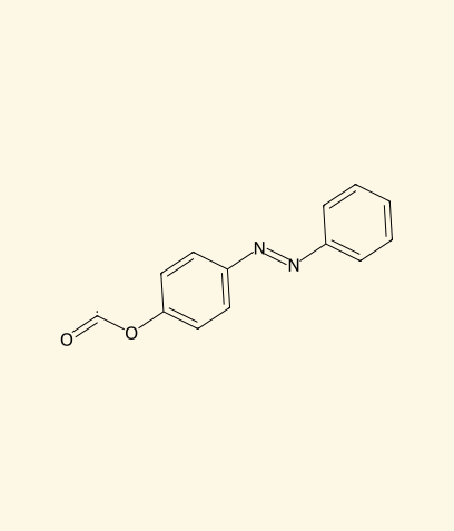 O=[C]Oc1ccc(N=Nc2ccccc2)cc1